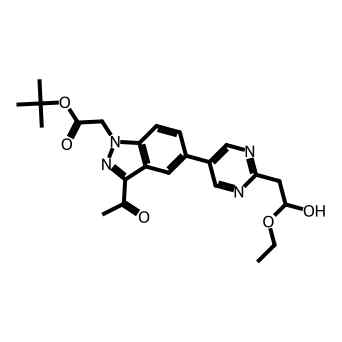 CCOC(O)Cc1ncc(-c2ccc3c(c2)c(C(C)=O)nn3CC(=O)OC(C)(C)C)cn1